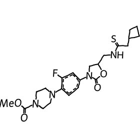 COC(=O)N1CCN(c2ccc(N3CC(CNC(=S)CC4CCC4)OC3=O)cc2F)CC1